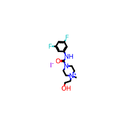 C[N+]1(CCO)CCN(C(=O)Nc2cc(F)cc(F)c2)CC1.[I-]